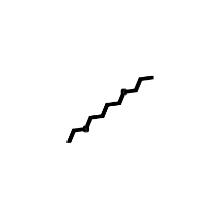 [CH2]COCCCCOCCC